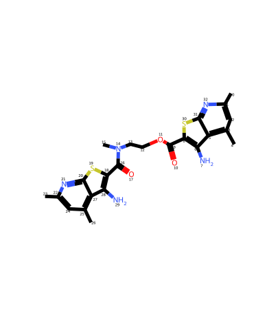 Cc1cc(C)c2c(N)c(C(=O)OCCN(C)C(=O)c3sc4nc(C)cc(C)c4c3N)sc2n1